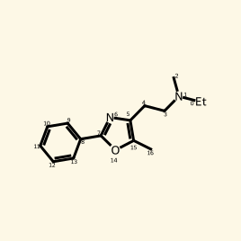 CCN(C)CCc1nc(-c2ccccc2)oc1C